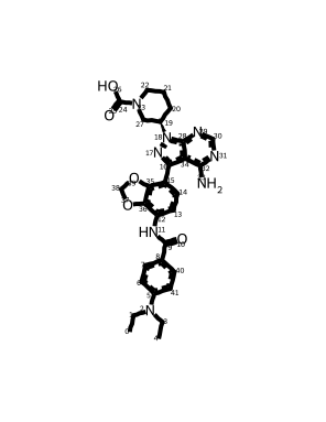 CCN(CC)c1ccc(C(=O)Nc2ccc(-c3nn([C@@H]4CCCN(C(=O)O)C4)c4ncnc(N)c34)c3c2OCO3)cc1